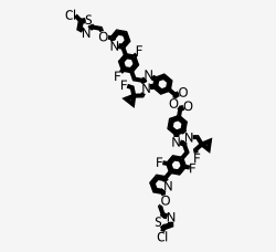 O=C(OC(=O)c1ccc2nc(Cc3cc(F)c(-c4cccc(OCc5ncc(Cl)s5)n4)cc3F)n(CC3(CF)CC3)c2c1)c1ccc2nc(Cc3cc(F)c(-c4cccc(OCc5ncc(Cl)s5)n4)cc3F)n(CC3(CF)CC3)c2c1